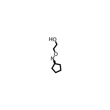 OCCON=C1CCCC1